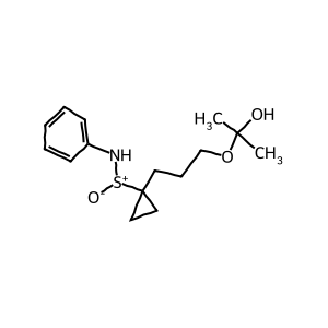 CC(C)(O)OCCCC1([S+]([O-])Nc2ccccc2)CC1